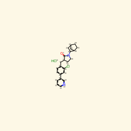 Cl.O=C1C(Cc2ccc(-c3cccnc3)cc2Cl)CCN1C1CC2CCC1C2